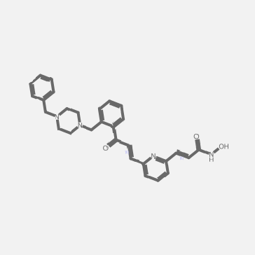 O=C(/C=C/c1cccc(/C=C/C(=O)c2ccccc2CN2CCN(Cc3ccccc3)CC2)n1)NO